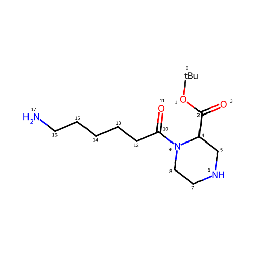 CC(C)(C)OC(=O)C1CNCCN1C(=O)CCCCCN